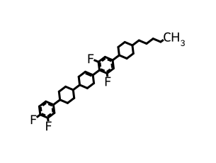 CCCCCC1CCC(c2cc(F)c(C3=CCC(C4CCC(c5ccc(F)c(F)c5)CC4)CC3)c(F)c2)CC1